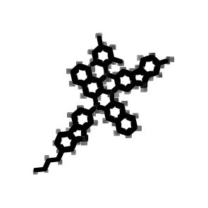 CCCCc1ccc2c(c1)oc1cc(N3c4cc5ccccc5cc4N4c5cc6oc7cc(I)ccc7c6cc5B(c5c(C)cc(C)cc5C)c5c4c3cc3ccccc53)ccc12